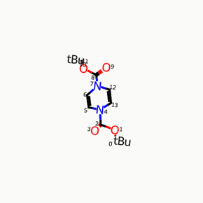 CC(C)(C)OC(=O)N1C=CN(C(=O)OC(C)(C)C)C=C1